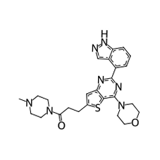 CN1CCN(C(=O)CCc2cc3nc(-c4cccc5[nH]ncc45)nc(N4CCOCC4)c3s2)CC1